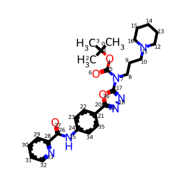 CC(C)(C)OC(=O)N(CCCN1CCCCC1)c1nnc(-c2ccc(NC(=O)c3ccccn3)cc2)o1